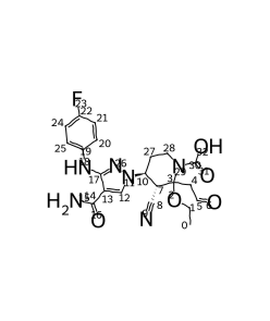 CCOC1(CC=O)[C@H](C#N)[C@@H](n2cc(C(N)=O)c(Nc3ccc(F)cc3)n2)CCN1C(=O)O